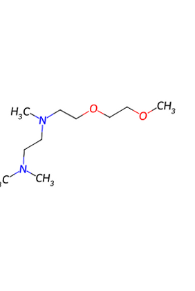 COCCOCCN(C)CCN(C)C